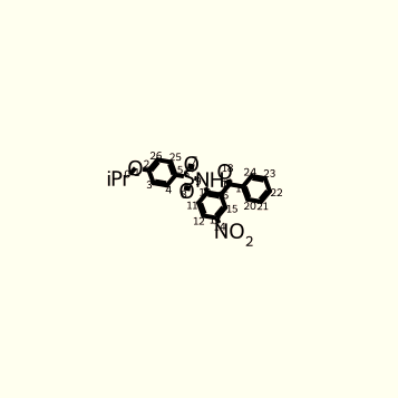 CC(C)Oc1ccc(S(=O)(=O)Nc2ccc([N+](=O)[O-])cc2C(=O)c2ccccc2)cc1